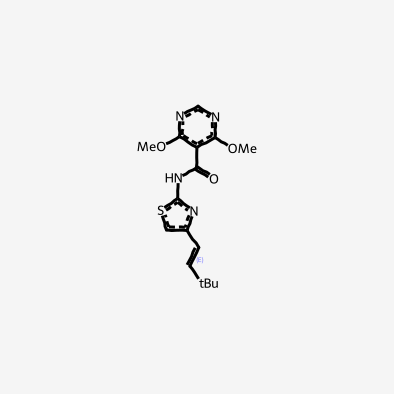 COc1ncnc(OC)c1C(=O)Nc1nc(/C=C/C(C)(C)C)cs1